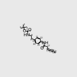 CC(C)(C)OC(=O)NCCc1ccc(NC(=O)CN=[N+]=[N-])cc1